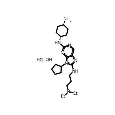 CCN(CC)CCCNc1nc2cnc(N[C@H]3CC[C@H](N)CC3)nc2n1C1CCCC1.Cl.Cl